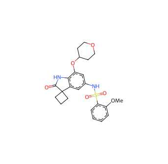 COc1ccccc1S(=O)(=O)Nc1cc(OC2CCOCC2)c2c(c1)C1(CCC1)C(=O)N2